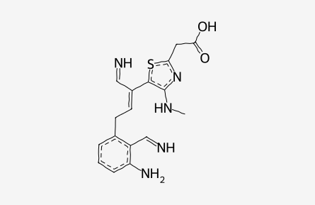 CNc1nc(CC(=O)O)sc1/C(C=N)=C/Cc1cccc(N)c1C=N